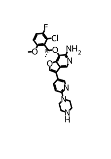 COc1ccc(F)c(Cl)c1[C@@H](C)Oc1c(N)ncc2c(-c3ccc(N4CCNCC4)nc3)coc12